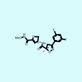 CONC(=O)C1=C[C@@H](NC(=O)[C@@]2(C)CC(c3cc(F)cc(F)c3)=NO2)CO1